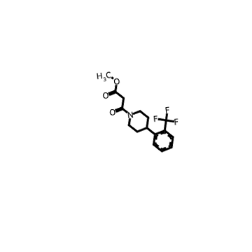 COC(=O)CC(=O)N1CCC(c2ccccc2C(F)(F)F)CC1